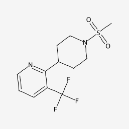 CS(=O)(=O)N1CCC(c2ncccc2C(F)(F)F)CC1